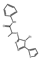 CCn1c(SC(C)C(=O)Nc2ccccc2)nnc1-c1cccs1